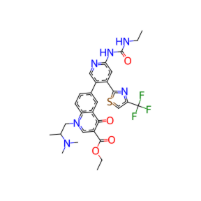 CCNC(=O)Nc1cc(-c2nc(C(F)(F)F)cs2)c(-c2ccc3c(c2)c(=O)c(C(=O)OCC)cn3CC(C)N(C)C)cn1